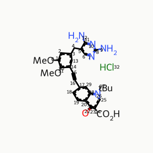 COc1cc(Cc2cnc(N)nc2N)cc(C#Cc2ccc3c(=O)c(C(=O)O)cn(C(C)(C)C)c3c2)c1OC.Cl